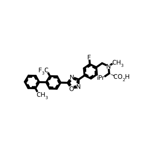 Cc1ccccc1-c1ccc(-c2nc(-c3ccc(CN(C)[C@H](C(=O)O)C(C)C)c(F)c3)no2)cc1C(F)(F)F